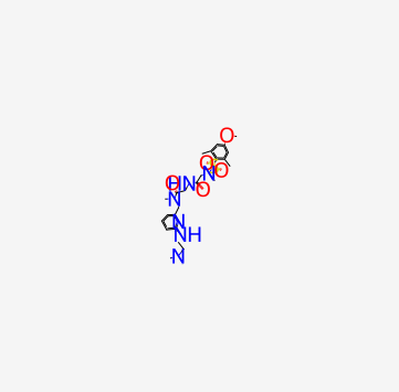 COc1cc(C)c(S(=O)(=O)N(C)CC(=O)NCC(=O)N(C)Cc2cccc(NCCN(C)C)n2)c(C)c1